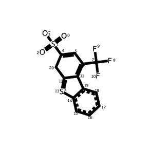 O=S(=O)([O-])C1=CC(C(F)(F)F)=C2C(=[S+]c3ccccc32)C1